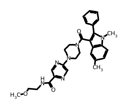 COCCNC(=O)c1cnc(N2CCN(C(=O)c3c(-c4ccccc4)n(C)c4ccc(C)cc34)CC2)cn1